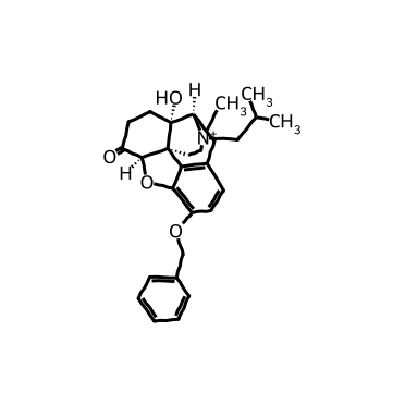 CC(C)C[N+]1(C)CC[C@]23c4c5ccc(OCc6ccccc6)c4O[C@H]2C(=O)CC[C@@]3(O)[C@H]1C5